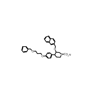 O=C(O)N1CCC(c2ccc(OCCCOCc3ccccc3)cc2)C(OCc2ccc3ccccc3c2)C1